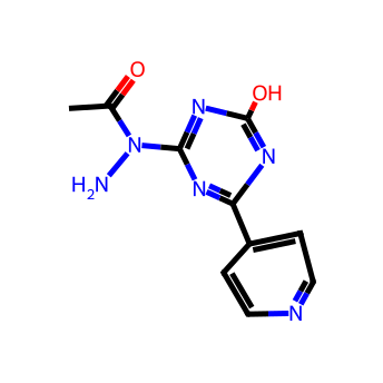 CC(=O)N(N)c1nc(O)nc(-c2ccncc2)n1